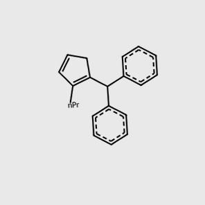 CCCC1=C(C(c2ccccc2)c2ccccc2)CC=C1